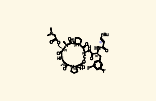 CCCC/C=C/C(=O)N[C@@H](Cc1cc(F)cc(F)c1)C(=O)N[C@H]1COC(=O)[C@@H]2CCCN2C(=O)[C@H](C)NC(=O)[C@H](COC(=O)CN(C)C)N(C)C(=O)[C@@H]2CCCN2C1=O